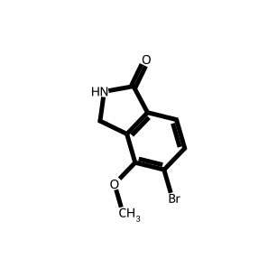 COc1c(Br)ccc2c1CNC2=O